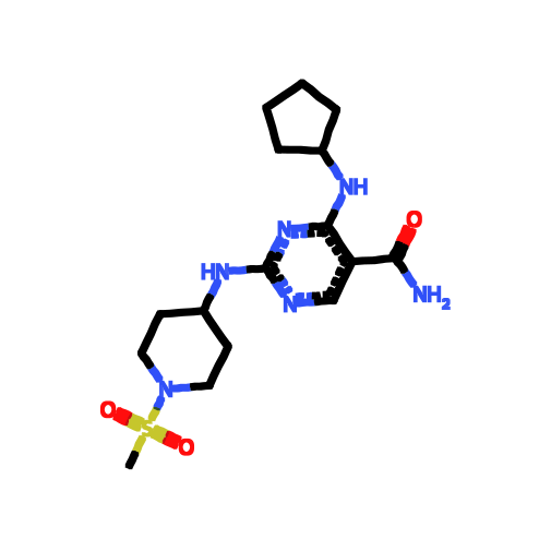 CS(=O)(=O)N1CCC(Nc2ncc(C(N)=O)c(NC3CCCC3)n2)CC1